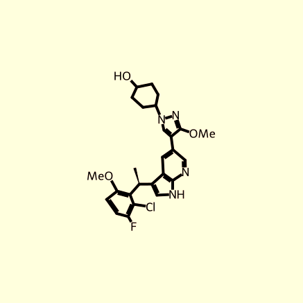 COc1ccc(F)c(Cl)c1[C@@H](C)c1c[nH]c2ncc(-c3cn(C4CCC(O)CC4)nc3OC)cc12